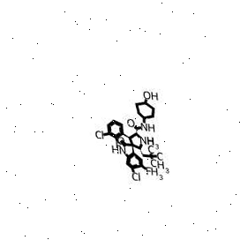 CC(C)(C)C[C@H]1N[C@@H](C(=O)NC2CCC(O)CC2)[C@H](c2cccc(Cl)c2F)[C@@]12C(=O)Nc1cc(Cl)c(F)cc12